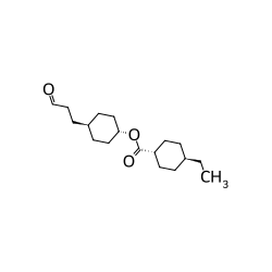 CC[C@H]1CC[C@H](C(=O)O[C@H]2CC[C@H](CCC=O)CC2)CC1